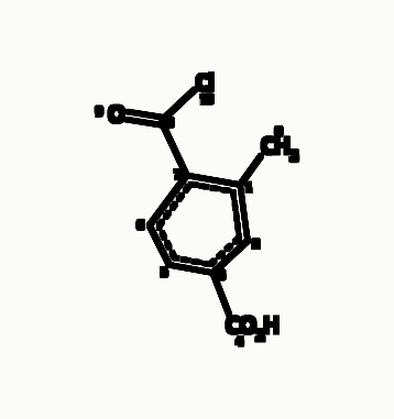 Cc1cc(C(=O)O)ccc1C(=O)Cl